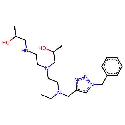 CCN(CCN(CCNC[C@H](C)O)C[C@H](C)O)Cc1cn(Cc2ccccc2)nn1